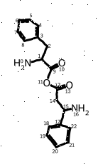 NC(Cc1ccccc1)C(=O)OC(=O)CC(N)c1ccccc1